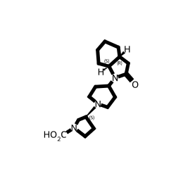 O=C(O)N1CC[C@H](N2CCC(N3C(=O)C[C@H]4CCCC[C@@H]43)CC2)C1